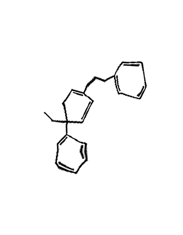 CCC1(c2ccccc2)C=CC(Cc2ccccc2)=CC1